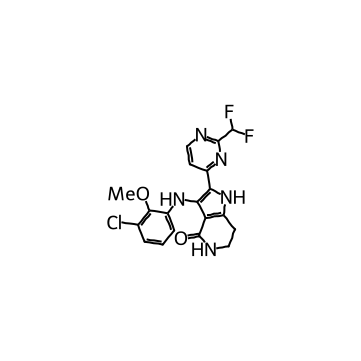 COc1c(Cl)cccc1Nc1c(-c2ccnc(C(F)F)n2)[nH]c2c1C(=O)NCC2